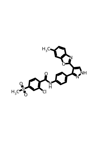 Cc1ccc2nc(-c3c[nH]nc3-c3ccc(NC(=O)c4ccc(S(C)(=O)=O)cc4Cl)cc3)oc2c1